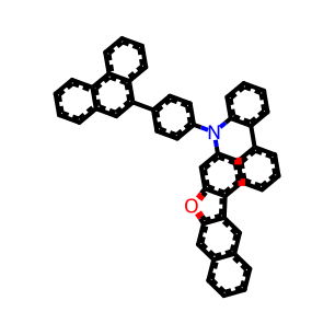 c1ccc(-c2ccccc2N(c2ccc(-c3cc4ccccc4c4ccccc34)cc2)c2ccc3c(c2)oc2cc4ccccc4cc23)cc1